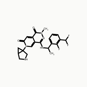 CC(Nc1nn(C)c(=O)c2cc(=O)n(C34CNCC3C4)cc12)c1cccc(C(F)F)c1F